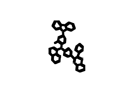 Cc1cc(-n2c3ccccc3c3ccccc32)ccc1N(c1ccc(-c2nc3ccccc3nc2-c2ccccc2)cc1)c1cccc2cccnc12